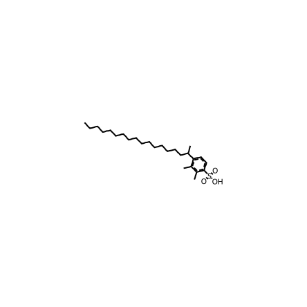 CCCCCCCCCCCCCCCCC(C)c1ccc(S(=O)(=O)O)c(C)c1C